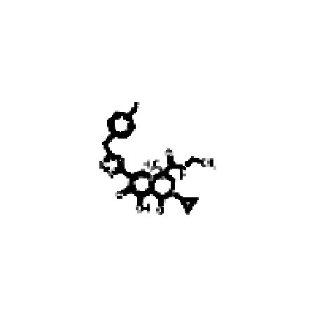 CCNC(=O)[C@@]1(C)CN(C2CC2)C(=O)c2c(O)c(=O)c(-c3nnc(Cc4ccc(F)cc4)s3)cn21